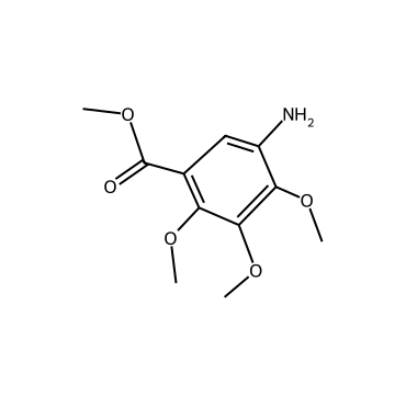 COC(=O)c1cc(N)c(OC)c(OC)c1OC